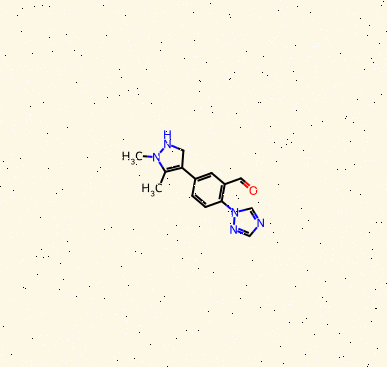 CC1=C(c2ccc(-n3cncn3)c(C=O)c2)CNN1C